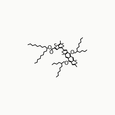 CCCCCCCCC(CCCCCCCC)OC(=O)c1cc2c(-c3cc4c(OCC(CCCC)CCCCCC)c5cc6sc(C)cc6c(OCC(CCCC)CCCCCC)c5cc4s3)sc(C)c2s1